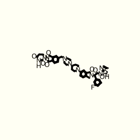 O=C1CCN(N2C(=O)c3ccc(CN4CCN(C5CCN(c6ccc7c(c6)C(=O)N(C(C(=O)Nc6nccs6)c6cc(F)ccc6O)C7)CC5)CC4)cc3C2=O)C(=O)N1